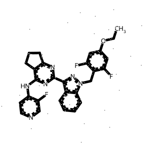 CCOc1cc(F)c(Cn2nc(-c3nc4c(c(Nc5ccncc5F)n3)CCC4)c3ccccc32)c(F)c1